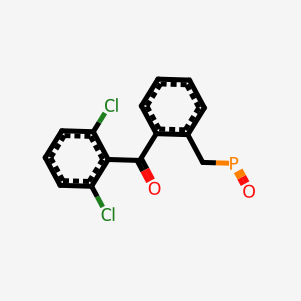 O=PCc1ccccc1C(=O)c1c(Cl)cccc1Cl